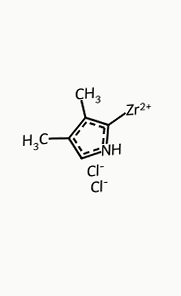 Cc1c[nH][c]([Zr+2])c1C.[Cl-].[Cl-]